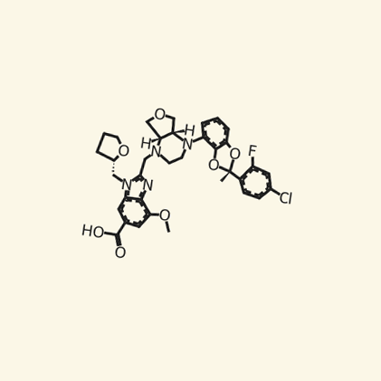 COc1cc(C(=O)O)cc2c1nc(CN1CCN(c3cccc4c3O[C@@](C)(c3ccc(Cl)cc3F)O4)[C@H]3COC[C@H]31)n2C[C@@H]1CCCO1